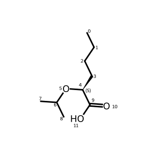 CCCC[C@H](OC(C)C)C(=O)O